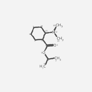 CC(C)OC(=O)C1CCCCC1N(C)C